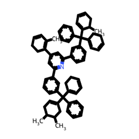 CC1=C(c2cc(-c3cccc(C(C4=CC=CCC4)(C4=CCC(C)C(C)C4)c4ccccc4)c3)nc(-c3cccc(C(C4=CC=CCC4)(C4=CC=CCC4C)c4ccccc4)c3)c2)CCC=C1